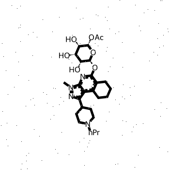 CCCN1CCC(c2nn(C)c3nc(O[C@H]4O[C@@H](OC(C)=O)[C@@H](O)[C@@H](O)[C@H]4O)c4c(c23)CCCC4)CC1